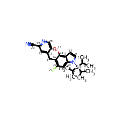 CC(C)[Si](C(C)C)(C(C)C)n1ccc2c(Br)c(Cc3ccnc(C#N)c3)c(F)cc21